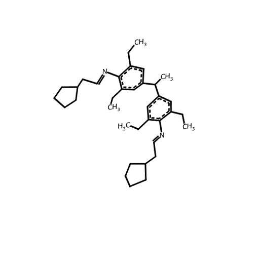 CCc1cc(C(C)c2cc(CC)c(N=CCC3CCCC3)c(CC)c2)cc(CC)c1N=CCC1CCCC1